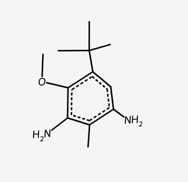 COc1c(C(C)(C)C)cc(N)c(C)c1N